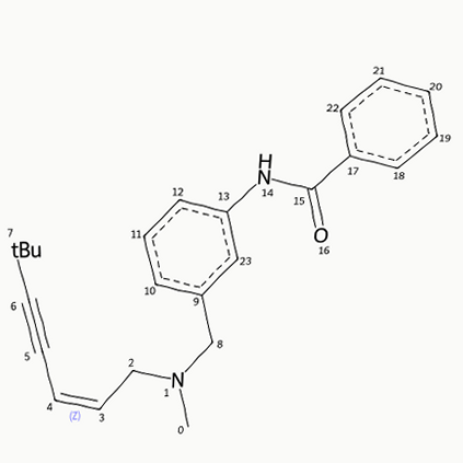 CN(C/C=C\C#CC(C)(C)C)Cc1cccc(NC(=O)c2ccccc2)c1